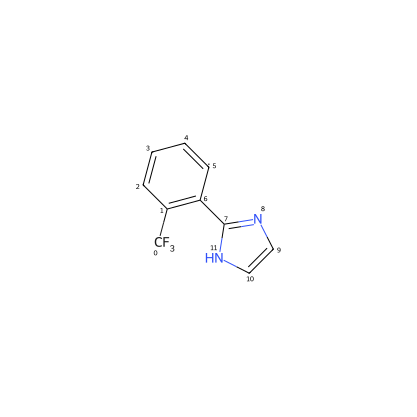 FC(F)(F)c1ccc[c]c1-c1ncc[nH]1